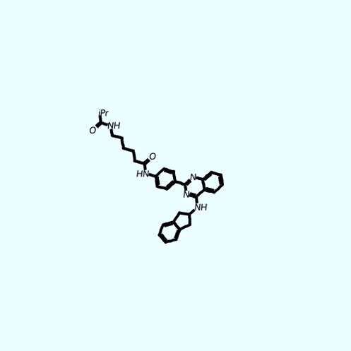 CC(C)C(=O)NCCCCCC(=O)Nc1ccc(-c2nc(NC3Cc4ccccc4C3)c3ccccc3n2)cc1